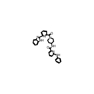 O=C(NC1CCN(C(=O)c2cccc(-c3nc4ccccc4[nH]3)n2)CC1)c1cccc(Nc2ccccc2)n1